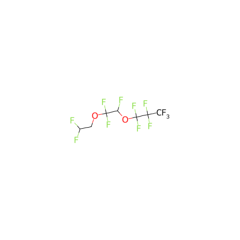 FC(F)COC(F)(F)C(F)OC(F)(F)C(F)(F)C(F)(F)F